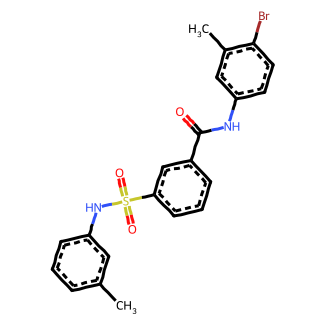 Cc1cccc(NS(=O)(=O)c2cccc(C(=O)Nc3ccc(Br)c(C)c3)c2)c1